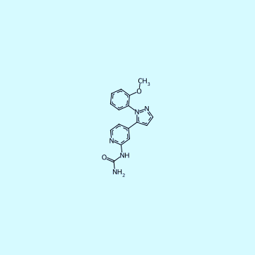 COc1ccccc1-n1nccc1-c1ccnc(NC(N)=O)c1